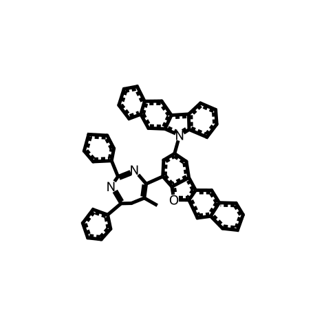 CC1=C(c2cc(-n3c4ccccc4c4cc5ccccc5cc43)cc3c2oc2cc4ccccc4cc23)N=C(c2ccccc2)N=C(c2ccccc2)C1